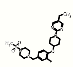 CCc1cnc(N2CCC(Oc3ccc(CN4CCN(S(C)(=O)=O)CC4)cc3F)CC2)nc1